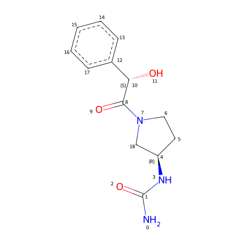 NC(=O)N[C@@H]1CCN(C(=O)[C@@H](O)c2ccccc2)C1